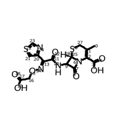 CC1=C(C(=O)O)N2C(=O)C(NC(=O)C(=NOCC(=O)O)c3cscn3)[C@@H]2SC1